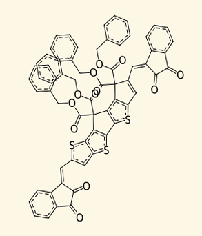 O=C1C(=O)c2ccccc2/C1=C/C1=Cc2sc3c(c2C1(C(=O)OCc1ccccc1)C(=O)OCc1ccccc1)C(C(=O)OCc1ccccc1)(C(=O)OCc1ccccc1)c1c-3sc2cc(/C=C3\C(=O)C(=O)c4ccccc43)sc12